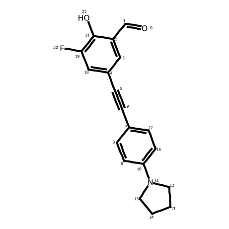 O=Cc1cc(C#Cc2ccc(N3CCCC3)cc2)cc(F)c1O